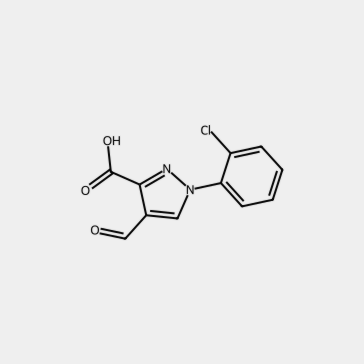 O=Cc1cn(-c2ccccc2Cl)nc1C(=O)O